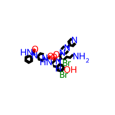 NCCCC[C@@H](NC(=O)[C@@H](Cc1cc(Br)c(O)c(Br)c1)NC(=O)N1CCC(n2c(=O)[nH]c3ccccc32)CC1)C(=O)N1CCN(c2ccncc2)CC1